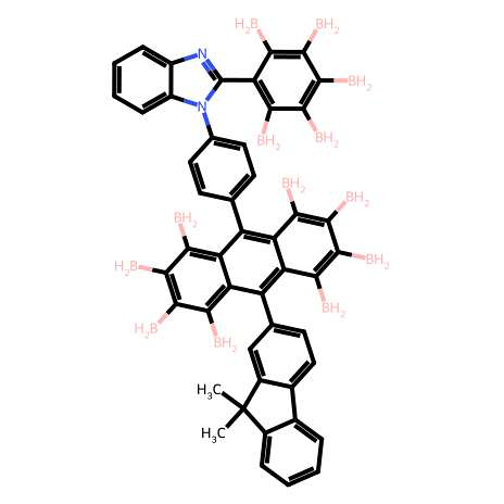 Bc1c(B)c(B)c(-c2nc3ccccc3n2-c2ccc(-c3c4c(B)c(B)c(B)c(B)c4c(-c4ccc5c(c4)C(C)(C)c4ccccc4-5)c4c(B)c(B)c(B)c(B)c34)cc2)c(B)c1B